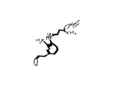 CC(C)CCNc1ccc(CC=O)cc1N